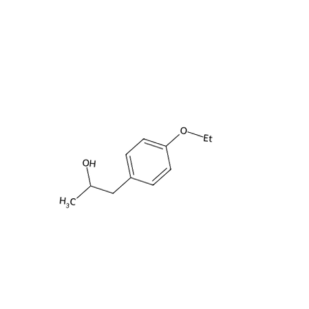 CCOc1ccc(CC(C)O)cc1